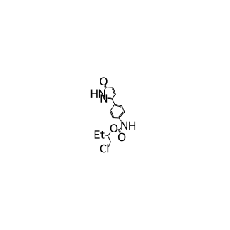 CCC(CCl)OC(=O)Nc1ccc(-c2ccc(=O)[nH]n2)cc1